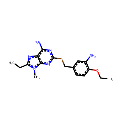 CCOc1ccc(CSc2nc(N)c3nc(CC)n(C)c3n2)cc1N